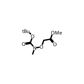 COC(=O)CON(C)C(=O)OC(C)(C)C